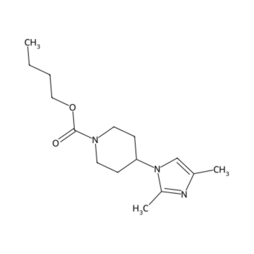 CCCCOC(=O)N1CCC(n2cc(C)nc2C)CC1